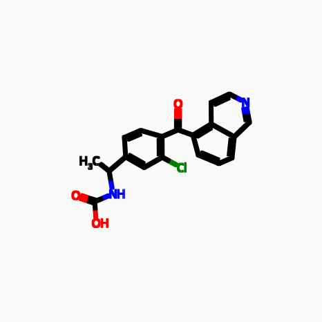 CC(NC(=O)O)c1ccc(C(=O)c2cccc3cnccc23)c(Cl)c1